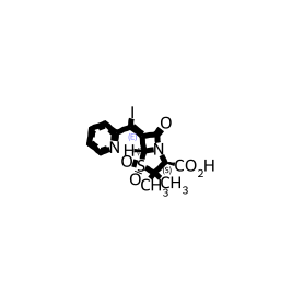 CC1(C)[C@H](C(=O)O)N2C(=O)/C(=C(\I)c3ccccn3)[C@H]2S1(=O)=O